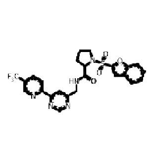 O=C(NCc1cc(-c2ccc(C(F)(F)F)cn2)ncn1)C1CCCN1S(=O)(=O)c1cc2ccccc2o1